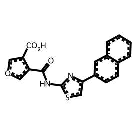 O=C(O)c1cocc1C(=O)Nc1nc(-c2ccc3ccccc3c2)cs1